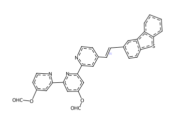 O=COc1ccnc(-c2cc(OC=O)cc(-c3cc(/C=C/c4ccc5sc6ccccc6c5c4)ccn3)n2)c1